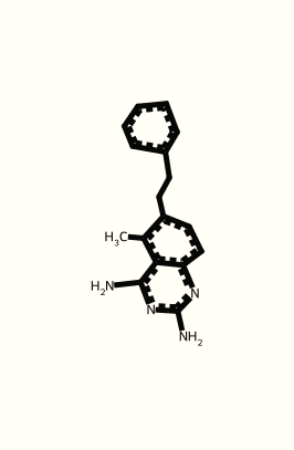 Cc1c(CCc2ccccc2)ccc2nc(N)nc(N)c12